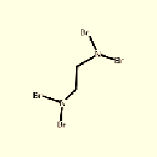 BrN(Br)CCN(Br)Br